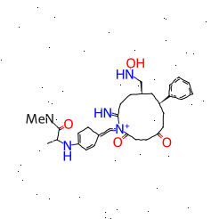 CNC(=O)C(C)NC1=CCC(=C=[N+]2C(=N)CC[C@@H](CNO)C[C@@H](c3ccccc3)CCC(=O)CCC2=O)C=C1